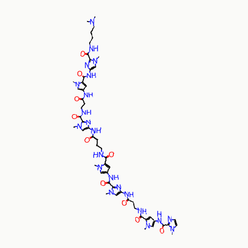 CN(C)CCCCNC(=O)c1nc(NC(=O)c2cc(NC(=O)CCNC(=O)c3nc(NC(=O)CCCNC(=O)c4cc(NC(=O)c5nc(NC(=O)CCNC(=O)c6cc(NC(=O)c7nccn7C)cn6C)cn5C)cn4C)cn3C)cn2C)cn1C